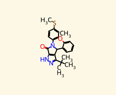 COc1ccccc1C1c2c(C(C)(C)C)n[nH]c2C(=O)N1c1ccc(SC)cc1